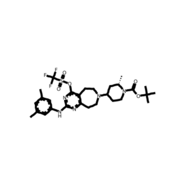 Cc1cc(C)cc(Nc2nc3c(c(OS(=O)(=O)C(F)(F)F)n2)CCN(C2CCN(C(=O)OC(C)(C)C)[C@@H](C)C2)CC3)c1